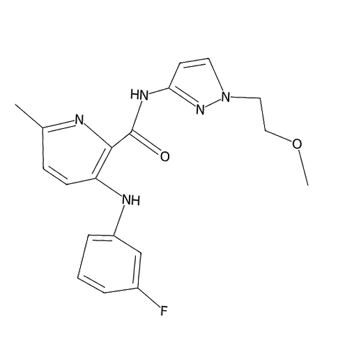 COCCn1ccc(NC(=O)c2nc(C)ccc2Nc2cccc(F)c2)n1